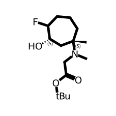 CN(CC(=O)OC(C)(C)C)[C@@]1(C)CCCC(F)[C@@H](O)C1